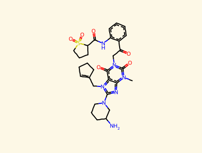 Cn1c(=O)n(CC(=O)c2ccccc2NC(=O)C2CCCS2(=O)=O)c(=O)c2c1nc(N1CCCC(N)C1)n2CC1=CCCC1